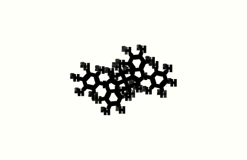 [2H]c1c([2H])c([2H])c(-n2c([2H])c(C(c3c([2H])n(-c4c([2H])c([2H])c([2H])c([2H])c4[2H])c4c([2H])c([2H])c([2H])c([2H])c34)(C([2H])([2H])[2H])C([2H])([2H])[2H])c3c([2H])c([2H])c([2H])c([2H])c32)c([2H])c1[2H]